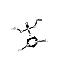 CCCCOP(=O)([O-])OCCCC.CCn1cc[n+](CC)c1